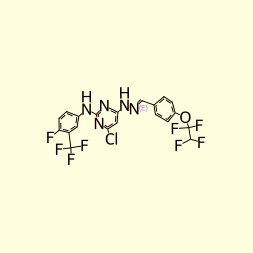 Fc1ccc(Nc2nc(Cl)cc(N/N=C/c3ccc(OC(F)(F)C(F)F)cc3)n2)cc1C(F)(F)F